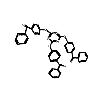 O=C(c1ccccc1)c1ccc(Oc2nc(Oc3ccc(C(=O)c4ccccc4)cc3)nc(Oc3ccc(C(=O)c4ccccc4)cc3)n2)cc1